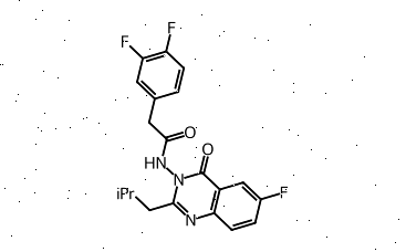 CC(C)Cc1nc2ccc(F)cc2c(=O)n1NC(=O)Cc1ccc(F)c(F)c1